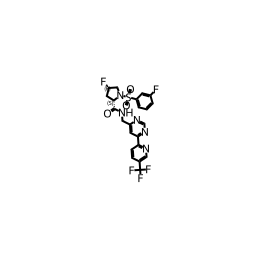 O=C(NCc1cc(-c2ccc(C(F)(F)F)cn2)ncn1)[C@@H]1C[C@@H](F)CN1S(=O)(=O)c1cccc(F)c1